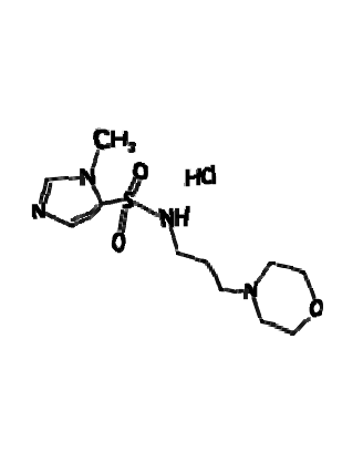 Cl.Cn1cncc1S(=O)(=O)NCCCN1CCOCC1